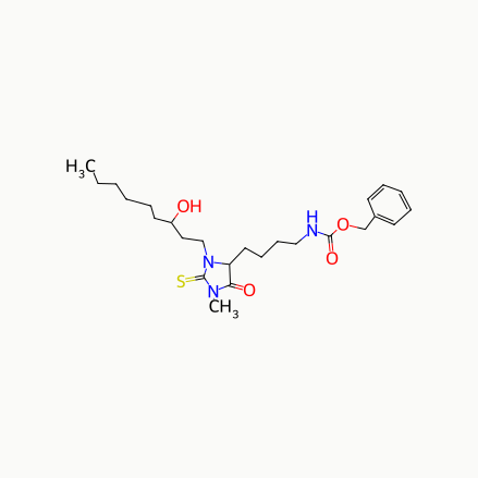 CCCCCCC(O)CCN1C(=S)N(C)C(=O)C1CCCCNC(=O)OCc1ccccc1